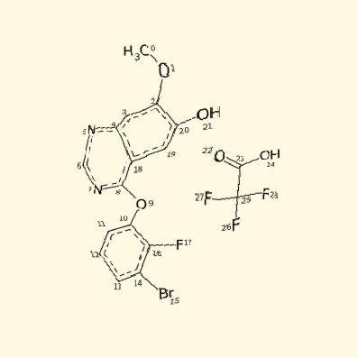 COc1cc2ncnc(Oc3cccc(Br)c3F)c2cc1O.O=C(O)C(F)(F)F